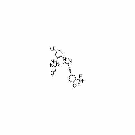 COCc1nnc2n1Cc1c(C#Cc3cnc(OC)c(C(F)(F)F)c3)ncn1-c1ccc(Cl)cc1-2